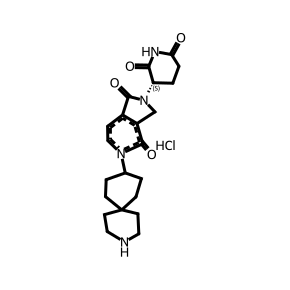 Cl.O=C1CC[C@H](N2Cc3c(ccn(C4CCC5(CCNCC5)CC4)c3=O)C2=O)C(=O)N1